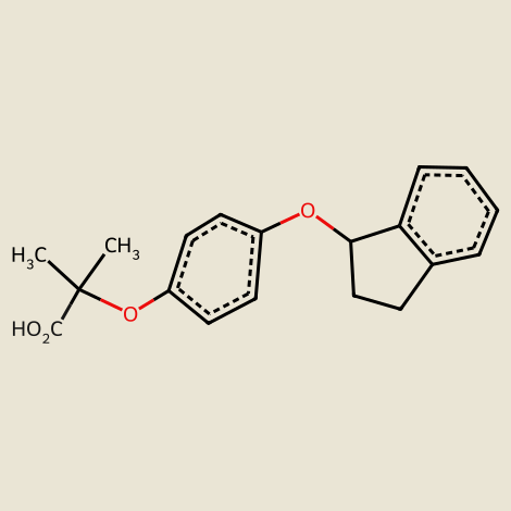 CC(C)(Oc1ccc(OC2CCc3ccccc32)cc1)C(=O)O